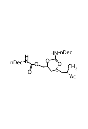 CCCCCCCCCCNC(=O)OC[C@H](CSC[C@H](C)C(C)=O)OC(=O)NCCCCCCCCCC